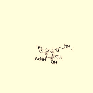 CCO[C@@H]1O[C@H](COCCN)[C@H](O)[C@H](O)[C@H]1NC(C)=O